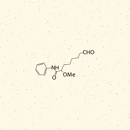 COC(CCCCCC=O)C(=O)Nc1ccccc1